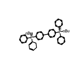 CCCC[PH](C1=CC=CCC1)(c1ccccc1)c1ccc(-c2ccc([PH](CCCC)(c3ccccc3)c3ccccc3)cc2)cc1